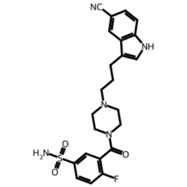 N#Cc1ccc2[nH]cc(CCCN3CCN(C(=O)c4cc(S(N)(=O)=O)ccc4F)CC3)c2c1